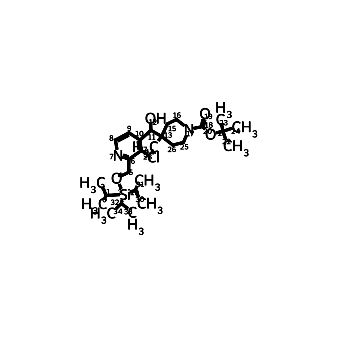 CC(C)[Si](OCc1nccc(C(O)C2(C)CCN(C(=O)OC(C)(C)C)CC2)c1Cl)(C(C)C)C(C)C